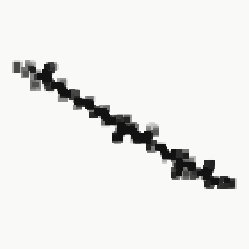 CC(C)(C)OC(=O)NCC(=O)NCCOC(=O)CCC(=O)NCCOCCOCCOC(=O)NN